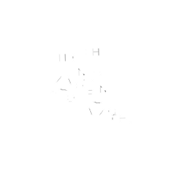 COc1cccc(F)c1CN1CCOC(C(=O)N(Cc2ccc3c(c2)OCCCO3)CC(C)C)C1